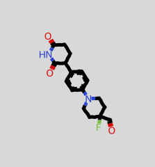 O=CC1(F)CCN(c2ccc(C3CCC(=O)NC3=O)cc2)CC1